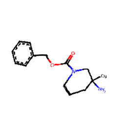 N#CC1(N)CCCN(C(=O)OCc2ccccc2)C1